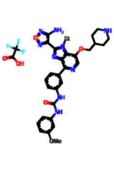 CCn1c(-c2nonc2N)nc2c(-c3cccc(NC(=O)Nc4cccc(OC)c4)c3)ncc(OCC3CCNCC3)c21.O=C(O)C(F)(F)F